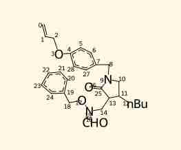 C=CCOc1ccc(CN2CC(CCCC)C(CN(C=O)OCc3ccccc3)C2=O)cc1